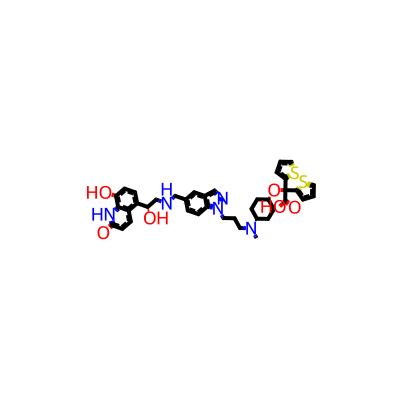 CN(CCCn1ncc2cc(CNC[C@H](O)c3ccc(O)c4[nH]c(=O)ccc34)ccc21)[C@H]1CC[C@H](OC(C(=O)O)(c2cccs2)c2cccs2)CC1